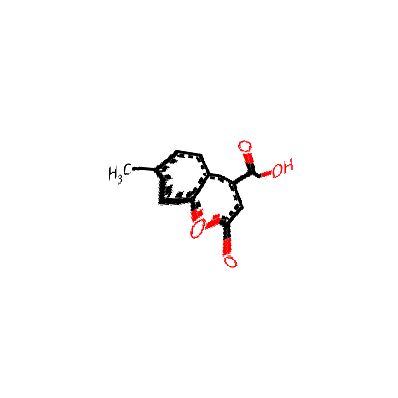 Cc1ccc2c(C(=O)O)cc(=O)oc2c1